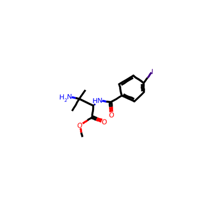 COC(=O)[C@@H](NC(=O)c1ccc(I)cc1)C(C)(C)N